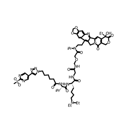 CCN(CC)CCCC[C@H](NC(=O)[C@@H](NC(=O)CCCCCn1cc(-c2cnc(S(C)(=O)=O)nc2)nn1)C(C)C)C(=O)NCC(=O)NCOCC(=O)N(CCc1c2c(nc3cc4c(cc13)OCO4)-c1cc3c(c(=O)n1C2)COC(=O)[C@]3(O)CC)C(C)C